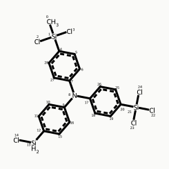 C[Si](Cl)(Cl)c1ccc(N(c2ccc([SiH2]Cl)cc2)c2ccc([Si](Cl)(Cl)Cl)cc2)cc1